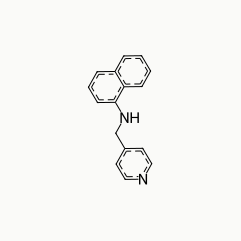 c1ccc2c(NCc3ccncc3)cccc2c1